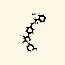 COc1ccccc1C(=O)NCc1ccc(-c2nn(C3CCOC(C)C3)c(N)c2C#N)cc1